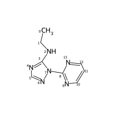 CCNc1ncnn1-c1ncccn1